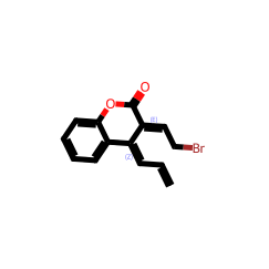 C=C/C=c1\c(=C/CBr)c(=O)oc2ccccc12